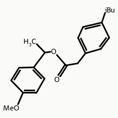 CCC(C)c1ccc(CC(=O)OC(C)c2ccc(OC)cc2)cc1